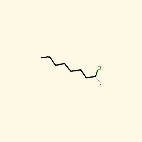 CCCCCCC[C@@H](C)Cl